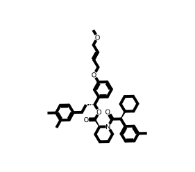 COCC=CCOc1cccc([C@@H](CCc2ccc(C)c(C)c2)OC(=O)[C@@H]2CCCCN2C(=O)[C@H](c2cccc(C)c2)C2CCCCC2)c1